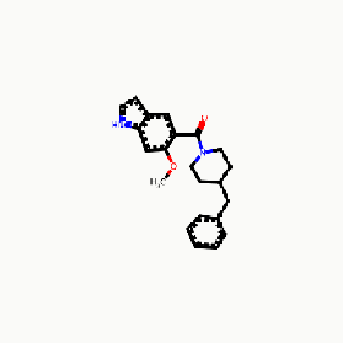 COc1cc2[nH]c[c]c2cc1C(=O)N1CCC(Cc2ccccc2)CC1